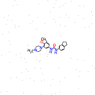 COc1ccc(NC(=O)Nc2ccc3c(c2)CCC3)cc1N1CCN(C)CC1